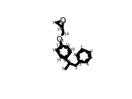 CC(Cc1ccccc1)c1ccc(OCC2CO2)cc1